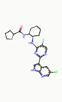 O=C(NC1CCCC[C@H]1Nc1nc(-c2c[nH]c3ncc(Cl)cc23)ncc1F)C1CCCC1